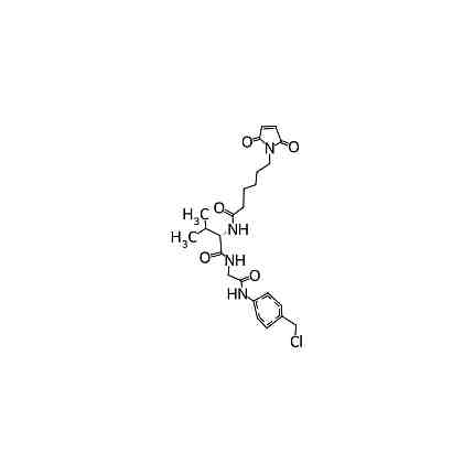 CC(C)[C@H](NC(=O)CCCCCN1C(=O)C=CC1=O)C(=O)NCC(=O)Nc1ccc(CCl)cc1